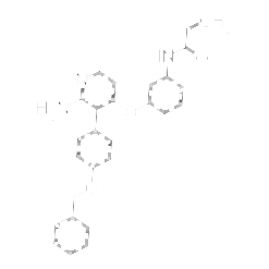 C=CC(=O)Nc1cccc(Oc2ccnc(N)c2-c2ccc(OCc3ccccc3)cc2)c1